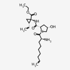 C=CCCCCC[C@H](N)C(=O)N1C[C@@H](O)C[C@H]1C(=O)N[C@]1(C(=O)OCC)C[C@H]1C=C